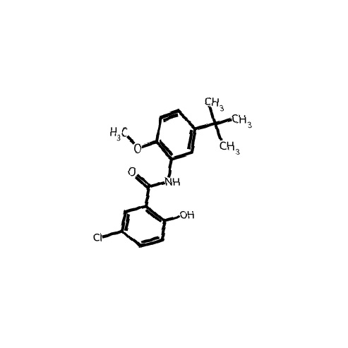 COc1ccc(C(C)(C)C)cc1NC(=O)c1cc(Cl)ccc1O